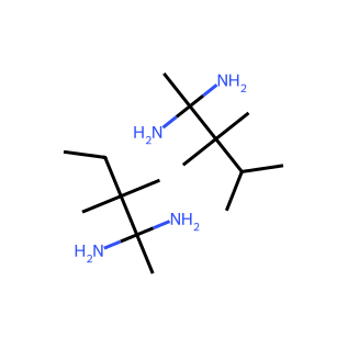 CC(C)C(C)(C)C(C)(N)N.CCC(C)(C)C(C)(N)N